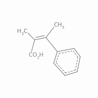 C/C(C(=O)O)=C(\C)c1ccccc1